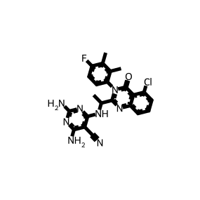 Cc1c(F)ccc(-n2c(C(C)Nc3nc(N)nc(N)c3C#N)nc3cccc(Cl)c3c2=O)c1C